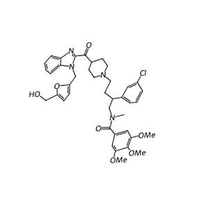 COc1cc(C(=O)N(C)CC(CCN2CCC(C(=O)c3nc4ccccc4n3Cc3ccc(CO)o3)CC2)c2cccc(Cl)c2)cc(OC)c1OC